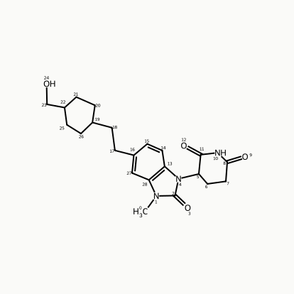 Cn1c(=O)n(C2CCC(=O)NC2=O)c2ccc(CCC3CCC(CO)CC3)cc21